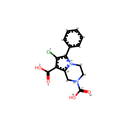 O=C(O)c1c(Cl)c(-c2ccccc2)n2c1CN(C(=O)O)CC2